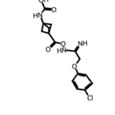 N=C(COc1ccc(Cl)cc1)NOC(=O)C12CC(NC(=O)O)(C1)C2